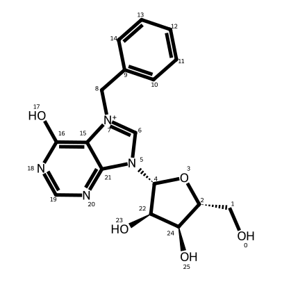 OC[C@H]1O[C@@H](n2c[n+](Cc3ccccc3)c3c(O)ncnc32)[C@H](O)[C@@H]1O